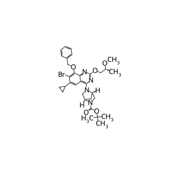 CO[C@@H](C)COc1nc(N2C[C@@H]3C[C@H]2CN3C(=O)OC(C)(C)C)c2cc(C3CC3)c(Br)c(OCc3ccccc3)c2n1